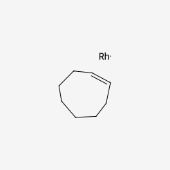 C1=CCCCCCC1.[Rh]